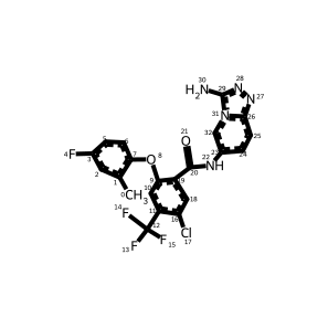 Cc1cc(F)ccc1Oc1cc(C(F)(F)F)c(Cl)cc1C(=O)Nc1ccc2nnc(N)n2c1